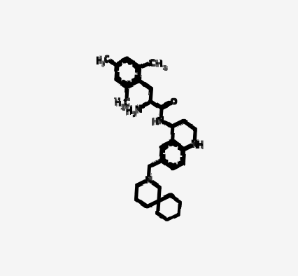 Cc1cc(C)c(CC(N)C(=O)NC2CCNc3ccc(CN4CCCC5(CCCCC5)C4)cc32)c(C)c1